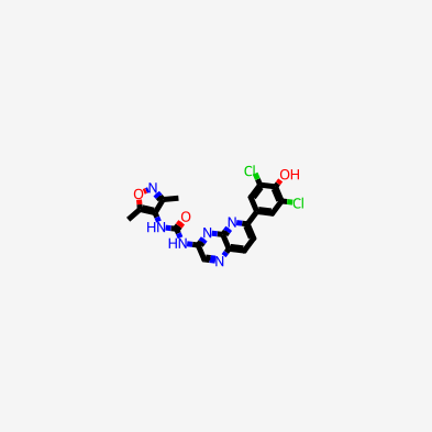 Cc1noc(C)c1NC(=O)Nc1cnc2ccc(-c3cc(Cl)c(O)c(Cl)c3)nc2n1